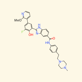 COc1ncccc1-c1cc(F)c(O)c(-c2nc3cc(C(=O)Nc4ccc(CCN5CCN(C)CC5)cc4)ccc3[nH]2)c1